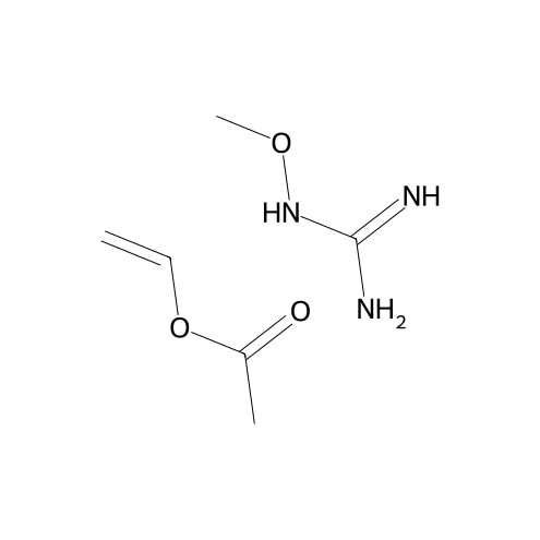 C=COC(C)=O.CONC(=N)N